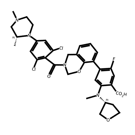 C[C@@H]1CN(C)CCN1c1cc(Cl)c(C(=O)N2COc3c(cccc3-c3cc(N(C)[C@@H]4CCOC4)c(C(=O)O)cc3F)C2)c(Cl)c1